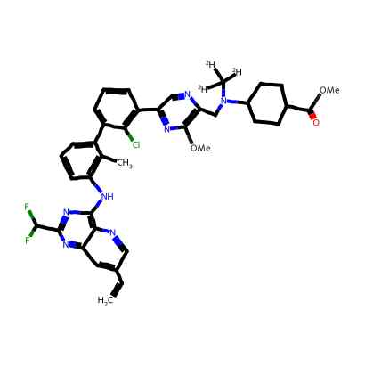 [2H]C([2H])([2H])N(Cc1ncc(-c2cccc(-c3cccc(Nc4nc(C(F)F)nc5cc(C=C)cnc45)c3C)c2Cl)nc1OC)C1CCC(C(=O)OC)CC1